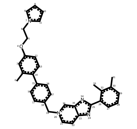 Cc1cc(OCCn2cccc2)ccc1-c1ccc(Cn2ccc3nc(-c4cccc(C)c4C)nc-3c2)cc1